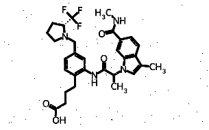 CNC(=O)c1ccc2c(C)cn(C(C)C(=O)Nc3cc(CN4CCC[C@@H]4C(F)(F)F)ccc3CCCC(=O)O)c2c1